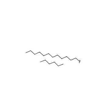 CCCCCC.CCCCCCCCCCCCF